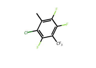 Cc1c(F)c(F)c(C(F)(F)F)c(F)c1Cl